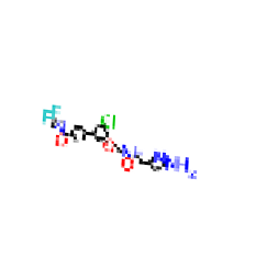 Nc1ccc(C=CC(=O)NCCOc2cc(Cl)cc(-c3ccc(C(=O)N4CC(F)(F)C4)cc3)c2)cn1